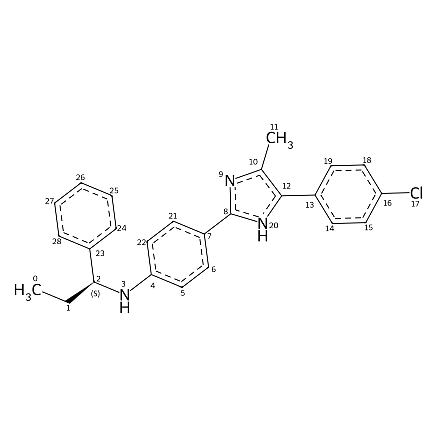 CC[C@H](Nc1ccc(-c2nc(C)c(-c3ccc(Cl)cc3)[nH]2)cc1)c1ccccc1